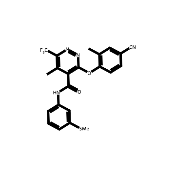 CSc1cccc(NC(=O)c2c(Oc3ccc(C#N)cc3C)nnc(C(F)(F)F)c2C)c1